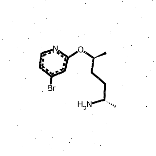 C[C@H](N)CC[C@H](C)Oc1cc(Br)ccn1